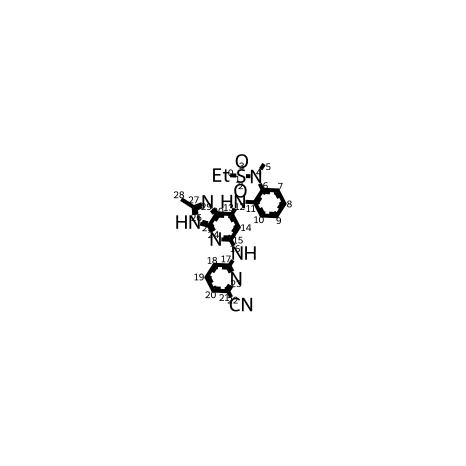 CCS(=O)(=O)N(C)c1ccccc1Nc1cc(Nc2cccc(C#N)n2)nc2[nH]c(C)nc12